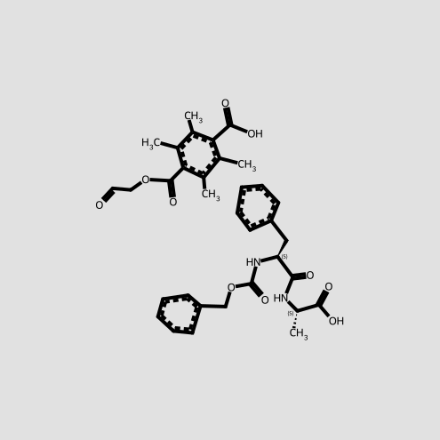 C[C@H](NC(=O)[C@H](Cc1ccccc1)NC(=O)OCc1ccccc1)C(=O)O.Cc1c(C)c(C(=O)OCC=O)c(C)c(C)c1C(=O)O